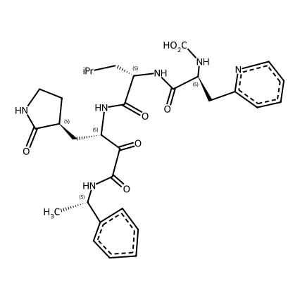 CC(C)C[C@H](NC(=O)[C@H](Cc1ccccn1)NC(=O)O)C(=O)N[C@@H](C[C@@H]1CCNC1=O)C(=O)C(=O)N[C@@H](C)c1ccccc1